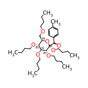 CCCCOC[C@H]1O[C@@](OCCCC)(C(=O)c2ccc(C)cc2)[C@H](OCCCC)[C@@H](OCCCC)[C@@H]1OCCCC